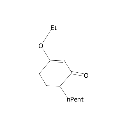 CCCCCC1CCC(OCC)=CC1=O